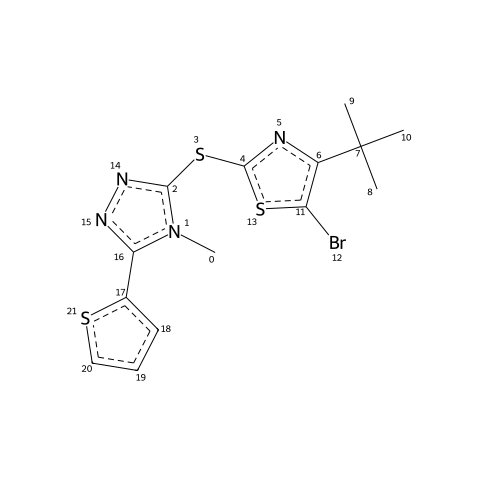 Cn1c(Sc2nc(C(C)(C)C)c(Br)s2)nnc1-c1cccs1